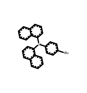 CC(C)(C)c1ccc([S+](c2cccc3ccccc23)c2cccc3ccccc23)cc1